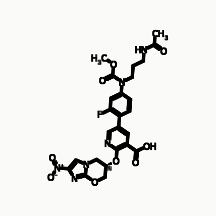 COC(=O)N(CCCNC(C)=O)c1ccc(-c2cnc(O[C@@H]3COc4nc([N+](=O)[O-])cn4C3)c(C(=O)O)c2)c(F)c1